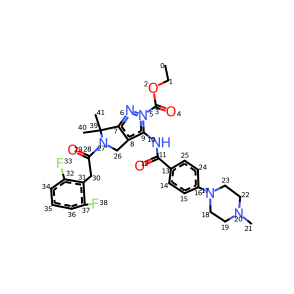 CCOC(=O)n1nc2c(c1NC(=O)c1ccc(N3CCN(C)CC3)cc1)CN(C(=O)Cc1c(F)cccc1F)C2(C)C